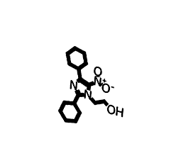 O=[N+]([O-])c1c(C2CCCCC2)nc(C2CCCCC2)n1CCO